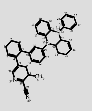 CC1CC(C2=CCCC=C2c2cccc(N3c4ccccc4[SiH](c4ccccc4)C4C=CCCC43)c2)=CN=C1C#N